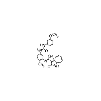 COc1cccc(NC(=O)Nc2ccc(C)c(/N=C(\C)c3c4cccccc-4[nH]c3=O)c2)c1